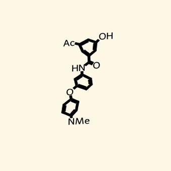 CNc1ccc(Oc2cccc(NC(=O)c3cc(O)cc(C(C)=O)c3)c2)cc1